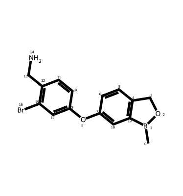 CB1OCc2ccc(Oc3ccc(CN)c(Br)c3)cc21